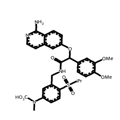 COc1ccc(C(Oc2ccc3c(N)nccc3c2)C(=O)NCc2cc(N(C)C(=O)O)ccc2S(=O)(=O)C(C)C)cc1OC